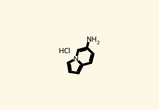 Cl.Nc1ccc2cccn2c1